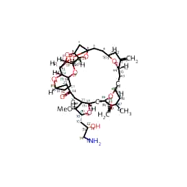 C=C1C[C@@H]2CCC34CC5O[C@H]6[C@@H](O3)[C@H]3O[C@H](CCC3O[C@H]6[C@H]5O4)CC(=O)C[C@@H]3[C@@H](OC)[C@@H](C[C@H](O)CN)O[C@H]3C[C@H]3O[C@@H](CC[C@@H]1O2)C[C@@H](C)C3=C